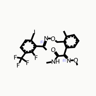 CNC(=O)/C(=N/OC)c1cccc(C)c1CO/N=C(\C)c1c(I)ccc(C(F)(F)F)c1F